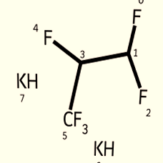 FC(F)C(F)C(F)(F)F.[KH].[KH]